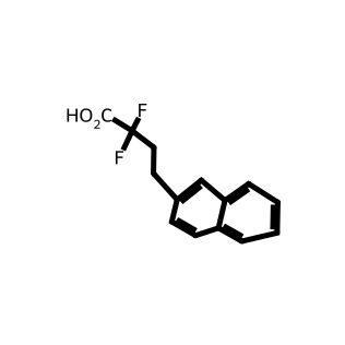 O=C(O)C(F)(F)CCc1ccc2ccccc2c1